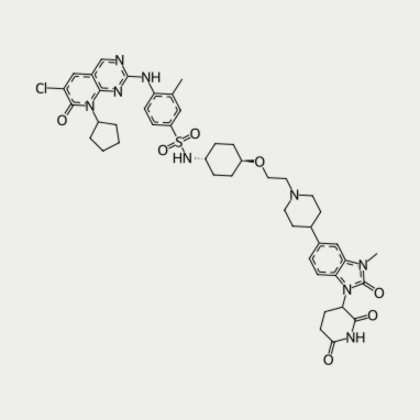 Cc1cc(S(=O)(=O)N[C@H]2CC[C@H](OCCN3CCC(c4ccc5c(c4)n(C)c(=O)n5C4CCC(=O)NC4=O)CC3)CC2)ccc1Nc1ncc2cc(Cl)c(=O)n(C3CCCC3)c2n1